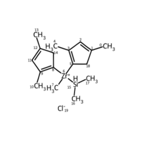 CC1=CC(C)=[C]([Zr+]([CH3])([C]2=C(C)C=C(C)C2)[SiH](C)C)C1.[Cl-]